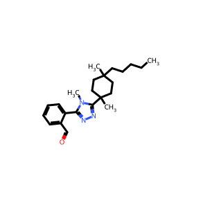 CCCCCC1(C)CCC(C)(c2nnc(-c3ccccc3C=O)n2C)CC1